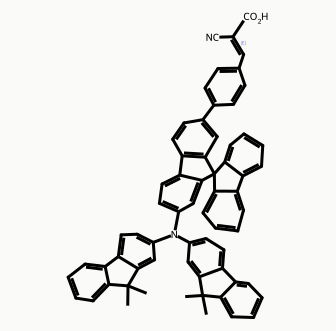 CC1(C)c2ccccc2-c2ccc(N(c3ccc4c(c3)C(C)(C)c3ccccc3-4)c3ccc4c(c3)C3(c5ccccc5-c5ccccc53)c3cc(-c5ccc(/C=C(\C#N)C(=O)O)cc5)ccc3-4)cc21